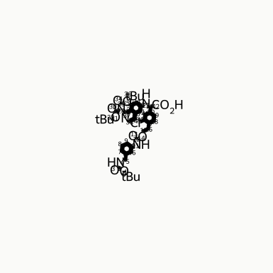 CC(C)(C)OC(=O)NCc1cccc(NC(=O)OCCc2ccc(C(Nc3ccc4c(N(C(=O)OC(C)(C)C)C(=O)OC(C)(C)C)nccc4c3)C(=O)O)cc2Cl)c1